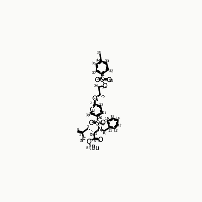 C=C(F)C[C@@H](C(=O)OC(C)(C)C)N(Cc1ccccc1)S(=O)(=O)c1ccc(OCCOS(=O)(=O)c2ccc(C)cc2)cc1